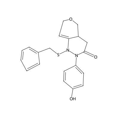 O=C1CC2COCC=C2N(SCc2ccccc2)N1c1ccc(O)cc1